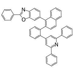 c1ccc(-c2cc(-c3ccccc3-c3ccc4ccccc4c3-c3ccc4nc(-c5ccccc5)oc4c3)cc(-c3ccccc3)n2)cc1